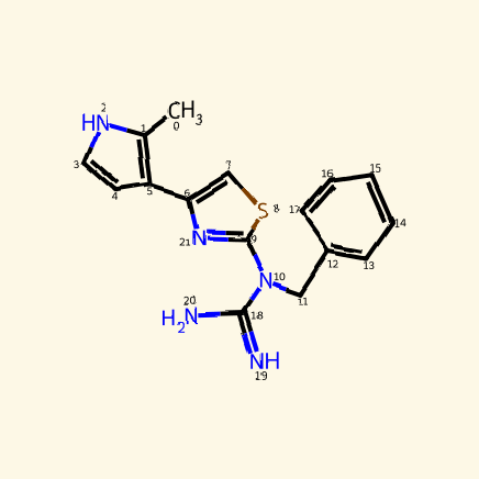 Cc1[nH]ccc1-c1csc(N(Cc2ccccc2)C(=N)N)n1